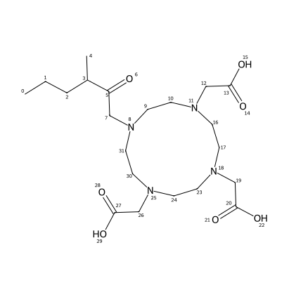 CCCC(C)C(=O)CN1CCN(CC(=O)O)CCN(CC(=O)O)CCN(CC(=O)O)CC1